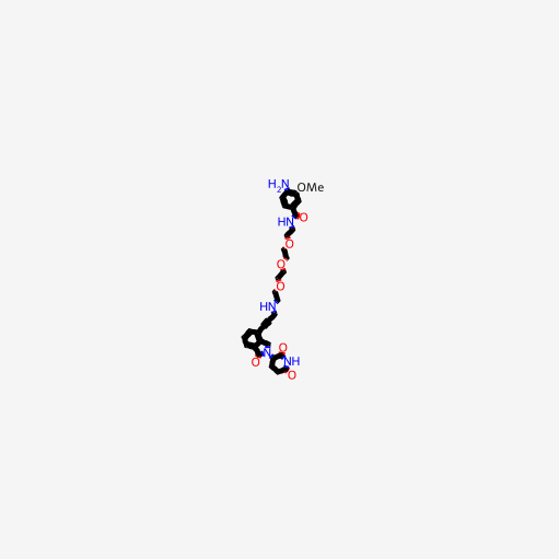 COc1cc(C(=O)NCCOCCOCCOCCNCC#Cc2cccc3c2CN(C2CCC(=O)NC2=O)C3=O)ccc1N